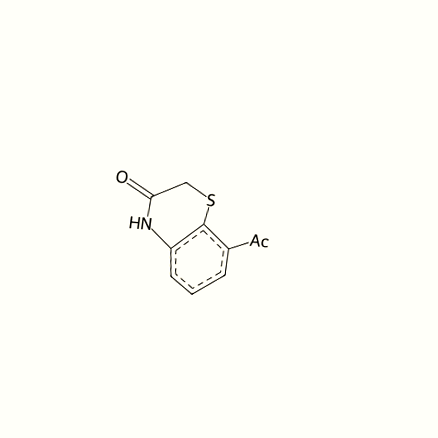 CC(=O)c1cccc2c1SCC(=O)N2